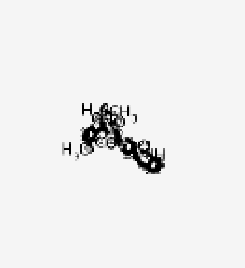 CSc1cccc(-c2cn(CC(=O)N3CCC(N4CCc5ccccc5NC4=O)CC3)c(=O)n(C(C)C)c2=O)c1Cl